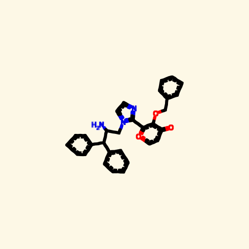 NC(Cn1ccnc1-c1occc(=O)c1OCc1ccccc1)C(c1ccccc1)c1ccccc1